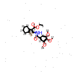 CCOC(=O)c1c(NC(=O)c2cc(OC)c(OC)c(OC)c2)sc2c1CCCC2